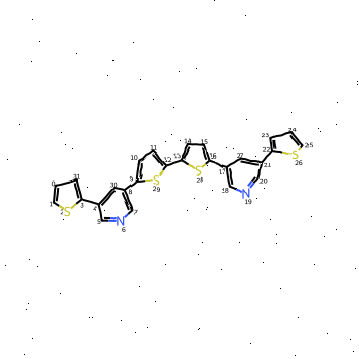 c1csc(-c2cncc(-c3ccc(-c4ccc(-c5cncc(-c6cccs6)c5)s4)s3)c2)c1